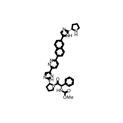 COC(=O)N[C@@H](C(=O)N1CCC[C@H]1c1ncc(-c2ccc(-c3ccc4cc(-c5cnc([C@@H]6CCCN6)[nH]5)ccc4c3)nn2)[nH]1)c1ccccc1